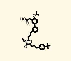 CCN1C(=O)C(CCCc2ccc(C(C)(C)C)cc2)N=C1CCCc1cccc(-c2ccc(OC(C)C)c(CC(=O)O)c2)c1